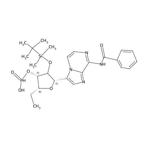 CC[C@H]1O[C@@H](c2cnc3c(NC(=O)c4ccccc4)nccn23)C(O[Si](C)(C)C(C)(C)C)[C@H]1O[PH](=O)O